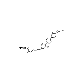 C=CCOc1ccc(-c2ccc(-c3ccc(/C=C/CCCC(C)OCCCCC)cc3F)cc2)cn1